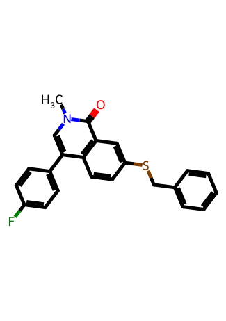 Cn1cc(-c2ccc(F)cc2)c2ccc(SCc3ccccc3)cc2c1=O